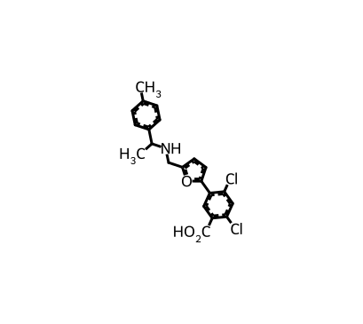 Cc1ccc(C(C)NCc2ccc(-c3cc(C(=O)O)c(Cl)cc3Cl)o2)cc1